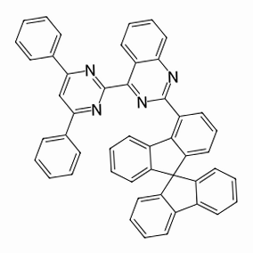 c1ccc(-c2cc(-c3ccccc3)nc(-c3nc(-c4cccc5c4-c4ccccc4C54c5ccccc5-c5ccccc54)nc4ccccc34)n2)cc1